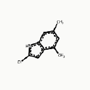 [CH2]Cc1cc2c(C)cc(C)cc2[nH]1